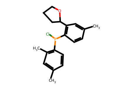 Cc1ccc(P(Cl)c2ccc(C)cc2C2CCCO2)c(C)c1